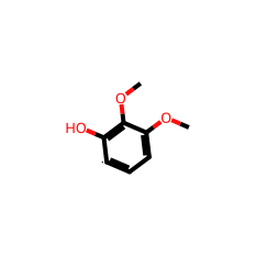 COc1cc[c]c(O)c1OC